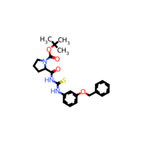 CC(C)(C)OC(=O)N1CCCC1C(=O)NC(=S)Nc1cccc(OCc2ccccc2)c1